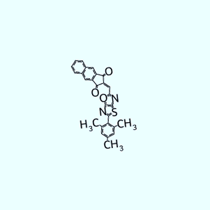 Cc1cc(C)c(-c2nc3oc(C=C4C(=O)c5cc6ccccc6cc5C4=O)nc3s2)c(C)c1